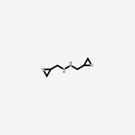 C(NNCC1CO1)C1CO1